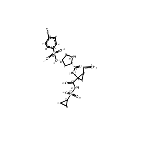 C=CC1C[C@]1(NC(=O)[C@@H]1C[C@H](OS(=O)(=O)c2ccc(Br)cc2)CN1)C(=O)NS(=O)(=O)C1CC1